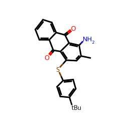 Cc1cc(Sc2ccc(C(C)(C)C)cc2)c2c(c1N)C(=O)c1ccccc1C2=O